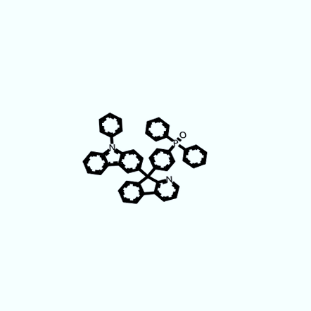 O=P(c1ccccc1)(c1ccccc1)c1ccc(C2(c3ccc4c(c3)c3ccccc3n4-c3ccccc3)c3ccccc3-c3cccnc32)cc1